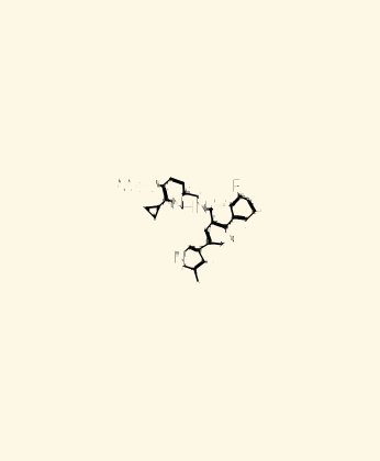 COc1ccc(CNC(=O)c2cc(-c3cncc(C)c3)cnc2-c2cccc(F)c2)nc1C1CC1